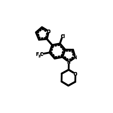 FC(F)(F)c1cc2c(cnn2C2CCCCO2)c(Cl)c1-c1ccco1